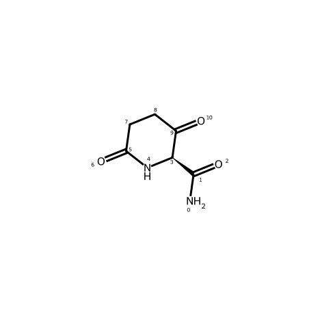 NC(=O)[C@H]1NC(=O)CCC1=O